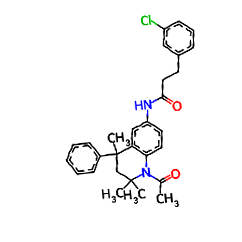 CC(=O)N1c2ccc(NC(=O)CCc3cccc(Cl)c3)cc2C(C)(c2ccccc2)CC1(C)C